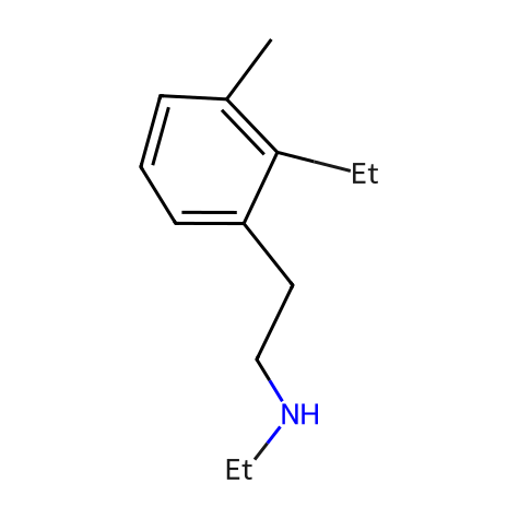 CCNCCc1cccc(C)c1CC